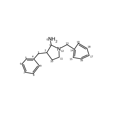 NC1C(Cc2ccccc2)CCN1Cc1ccccc1